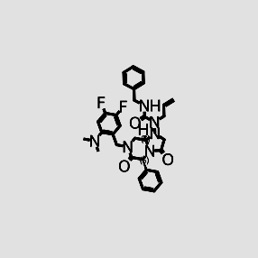 C=CCN(C(=O)NCc1ccccc1)N1CC(=O)N2[C@@H](c3ccccc3)C(=O)N(Cc3cc(F)c(F)cc3N(C)C)C[C@@H]21